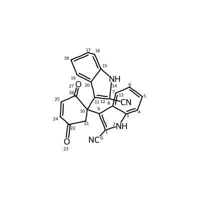 N#Cc1[nH]c2ccccc2c1C1(c2c(C#N)[nH]c3ccccc23)CC(=O)C=CC1=O